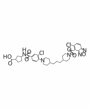 O=C(O)C1CCC(NS(=O)(=O)c2ccc(N3CCC(CCCC4CCN(S(=O)(=O)c5c(Cl)ccc6nonc56)CC4)CC3)c(Cl)c2)C1